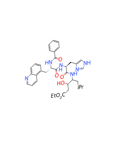 CCOC(=O)CC(O)C(CC(C)C)NC(=O)[C@H](Cc1c[nH]cn1)NC(=O)[C@H](Cc1cccc2ncccc12)NC(=O)c1ccccc1